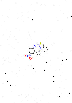 Cc1cc([N+](=O)[O-])ccc1/N=C1/SCC2(CCCC2)N1C1CCC1